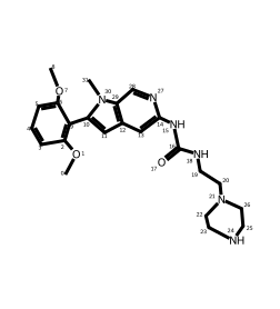 COc1cccc(OC)c1-c1cc2cc(NC(=O)NCCN3CCNCC3)ncc2n1C